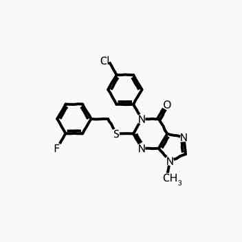 Cn1cnc2c(=O)n(-c3ccc(Cl)cc3)c(SCc3cccc(F)c3)nc21